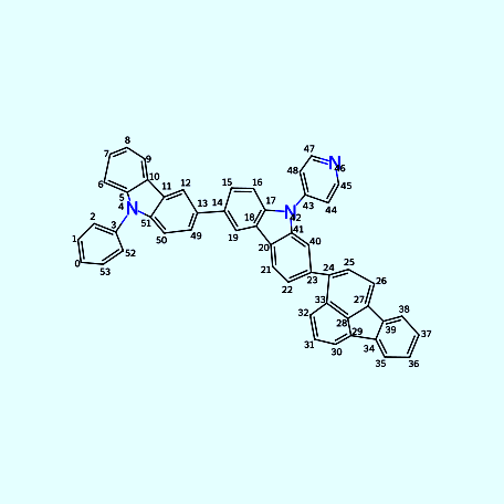 c1ccc(-n2c3ccccc3c3cc(-c4ccc5c(c4)c4ccc(-c6ccc7c8c(cccc68)-c6ccccc6-7)cc4n5-c4ccncc4)ccc32)cc1